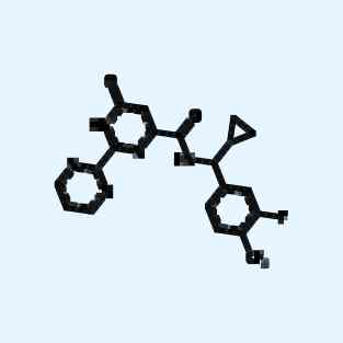 O=C(NC(c1ccc(C(F)(F)F)c(F)c1)C1CC1)c1cc(=O)[nH]c(-c2ncccn2)n1